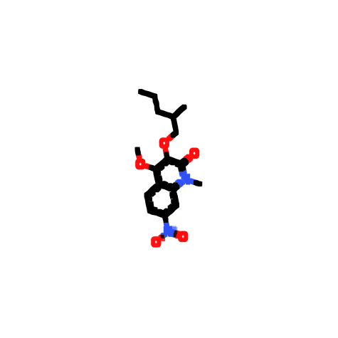 CCCC(C)COc1c(OC)c2ccc([N+](=O)[O-])cc2n(C)c1=O